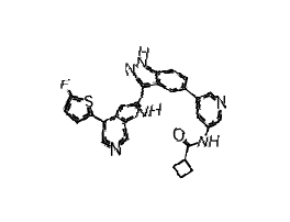 O=C(Nc1cncc(-c2ccc3[nH]nc(-c4cc5c(-c6ccc(F)s6)cncc5[nH]4)c3c2)c1)C1CCC1